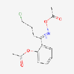 CC(=O)O/N=C(\CCCCl)c1ccccc1OC(C)=O